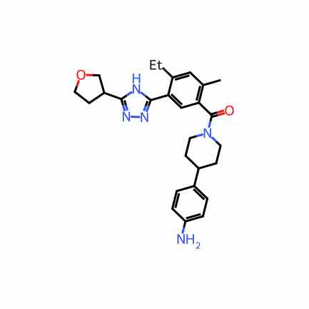 CCc1cc(C)c(C(=O)N2CCC(c3ccc(N)cc3)CC2)cc1-c1nnc(C2CCOC2)[nH]1